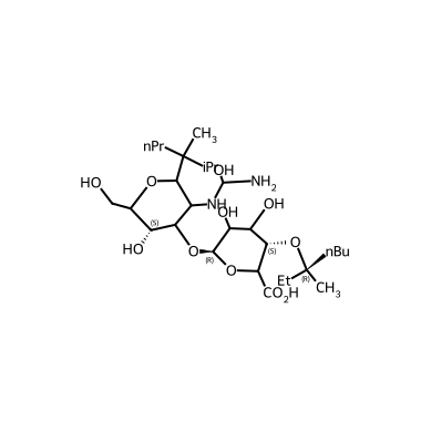 CCCC[C@@](C)(CC)O[C@@H]1C(C(=O)O)O[C@@H](OC2C(NC(N)O)C(C(C)(CCC)C(C)C)OC(CO)[C@H]2O)C(O)C1O